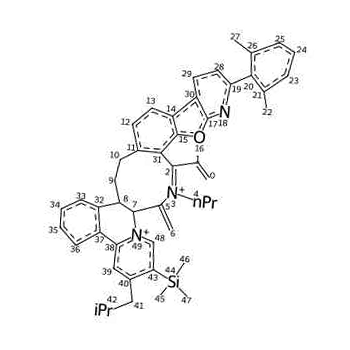 C=C/C1=[N+](\CCC)C(=C)C2C(CCc3ccc4c(oc5nc(-c6c(C)cccc6C)ccc54)c31)c1ccccc1-c1cc(CC(C)C)c([Si](C)(C)C)c[n+]12